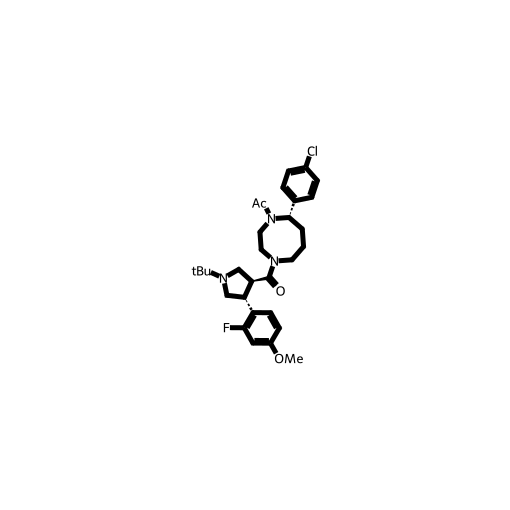 COc1ccc([C@@H]2CN(C(C)(C)C)C[C@H]2C(=O)N2CCC[C@@H](c3ccc(Cl)cc3)N(C(C)=O)CC2)c(F)c1